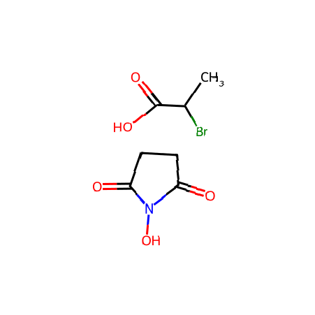 CC(Br)C(=O)O.O=C1CCC(=O)N1O